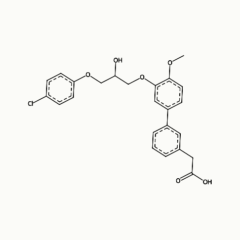 COc1ccc(-c2cccc(CC(=O)O)c2)cc1OCC(O)COc1ccc(Cl)cc1